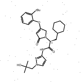 CC(C)(O)Cn1ccc(NC(=O)[C@H](CC2CCCCC2)N2CC(Oc3ccccc3C(C)(C)C)=CC2=O)n1